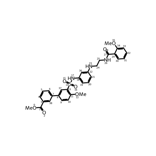 COC(=O)c1cccc(-c2ccc(OC)c(S(=O)(=O)Nc3cccc(NCCNC(=O)c4ccccc4OC)c3)c2)c1